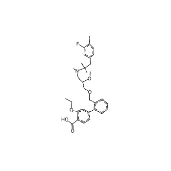 CCOc1cc(-c2ccccc2COCC(CN(C)C(C)(C)Cc2ccc(C)c(F)c2)OC)ccc1C(=O)O